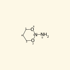 NN1OCCCO1